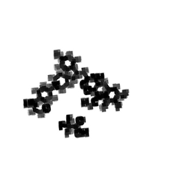 CNC(=O)C(=Cc1cc(F)c(F)c(F)c1)NC(=O)CC1CC2(CCN(c3ccc4c(c3)OCCN4)CC2)c2cc(F)ccc21.O=C(O)C(F)(F)F